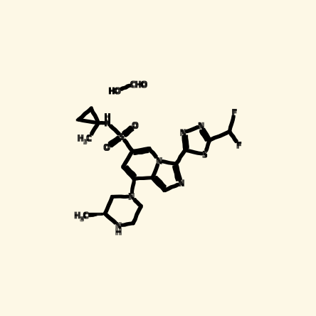 C[C@H]1CN(c2cc(S(=O)(=O)NC3(C)CC3)cn3c(-c4nnc(C(F)F)s4)ncc23)CCN1.O=CO